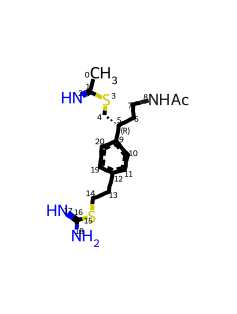 CC(=N)SC[C@H](CCNC(C)=O)c1ccc(CCSC(=N)N)cc1